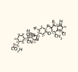 Cc1c(Oc2ccc(F)c(-c3ncc(C(C)(C#N)c4cccc(CCC(=O)O)c4)[nH]3)c2)c(F)c(F)c2[nH]cc(Cl)c12